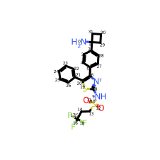 NC1(c2ccc(-c3nc(NS(=O)(=O)CCC(F)(F)F)sc3-c3ccccc3)cc2)CCC1